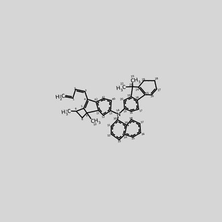 C=C/C=C\C1=C2C(C)CC2(C)c2cc(N(c3ccc4c(c3)C(C)(C)C3=C4C=CCC3)c3cccc4ccccc34)ccc21